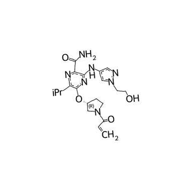 C=CC(=O)N1CC[C@@H](Oc2nc(Nc3cnn(CCO)c3)c(C(N)=O)nc2C(C)C)C1